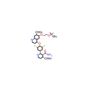 COc1cc2nccc(Oc3c(F)cc(-c4nccc(OC)c4C(N)=O)cc3F)c2cc1OCCO[Si](C)(C)C(C)(C)C